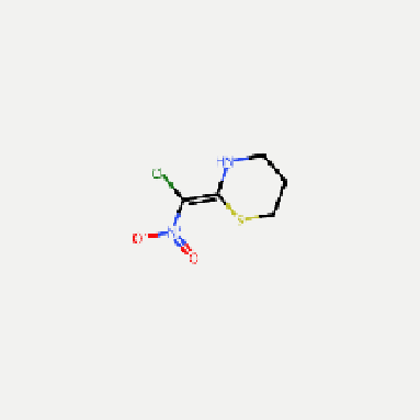 O=[N+]([O-])/C(Cl)=C1/NCCCS1